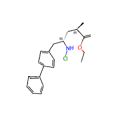 C=C(OCC)[C@H](C)C[C@@H](Cc1ccc(-c2ccccc2)cc1)NCl